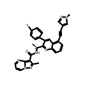 Cc1nn2cccnc2c1C(=O)N[C@@H](C)c1nc2cccc(C#Cc3cnn(C)c3)c2cc1-c1ccc(F)cc1